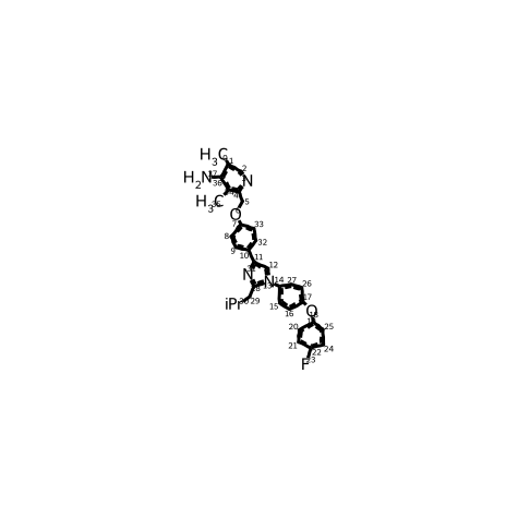 Cc1cnc(COc2ccc(-c3cn(-c4ccc(Oc5ccc(F)cc5)cc4)c(CC(C)C)n3)cc2)c(C)c1N